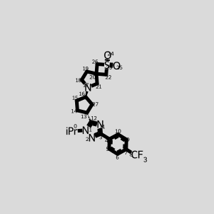 CC(C)n1nc(-c2ccc(C(F)(F)F)cc2)nc1[C@@H]1CC[C@@H](N2CCC3(C2)CS(=O)(=O)C3)C1